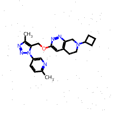 Cc1ccc(-n2nnc(C)c2COc2cc3c(nn2)CN(C2CCC2)CC3)cn1